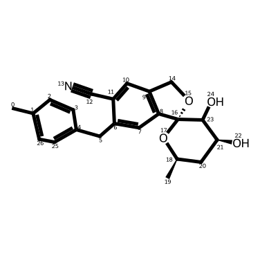 Cc1ccc(Cc2cc3c(cc2C#N)CO[C@]32O[C@H](C)C[C@H](O)C2O)cc1